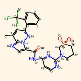 Cc1cc(-c2ccccc2C(F)(F)F)nn2c(C(=O)Nc3ccnc(N4CCCS(=O)(=O)C4)n3)cnc12